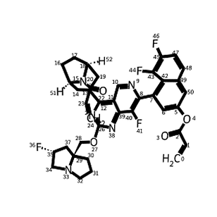 C=CC(=O)Oc1cc(-c2ncc3c(C4C[C@H]5CC[C@@H](C4)N5C(=O)C=C)nc(OC[C@@]45CCCN4C[C@H](F)C5)nc3c2F)c2c(F)c(F)ccc2c1